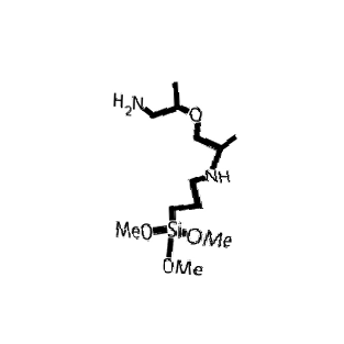 CO[Si](CCCNC(C)COC(C)CN)(OC)OC